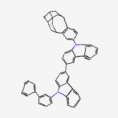 c1ccc(-c2cccc(-n3c4ccccc4c4cc(-c5ccc6c(c5)c5ccccc5n6-c5ccc6c(c5)C5CC7CC8CC6CC87C5)ccc43)c2)cc1